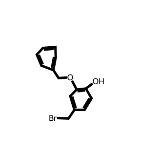 Oc1ccc(CBr)cc1OCc1ccccc1